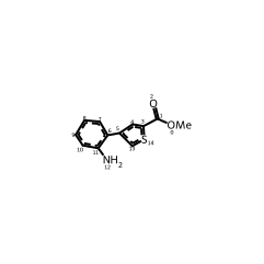 COC(=O)c1cc(-c2ccccc2N)cs1